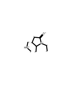 CCN1C(=O)CCC1C.CNC